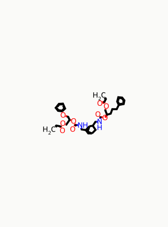 C=CC(=O)OCC(CCCc1ccccc1)OC(=O)NCC1CC2CC(CNC(=O)OC(COC(=O)C=C)COc3ccccc3)C1C2